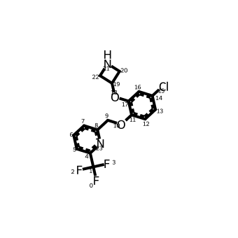 FC(F)(F)c1cccc(COc2ccc(Cl)cc2OC2CNC2)n1